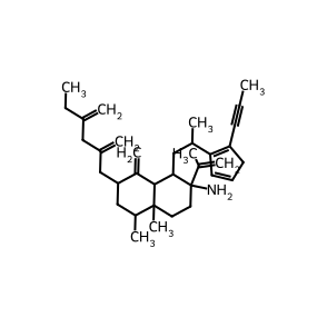 C=C(CC)CC(=C)CC1CC(C)C2(C)CCC(N)(C(=C)C)C(CC(C)C3=C(C#CC)CC=C3)C2C1=C